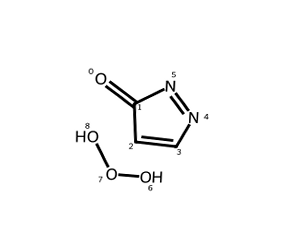 O=C1C=CN=N1.OOO